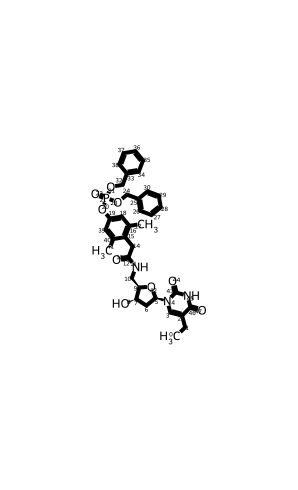 CCc1cn([C@H]2C[C@H](O)[C@@H](CNC(=O)Cc3c(C)cc(OP(=O)(OCc4ccccc4)OCc4ccccc4)cc3C)O2)c(=O)[nH]c1=O